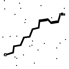 CCCC/C=C\C=C/CCCCCCCCl